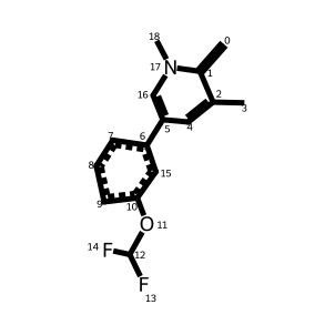 C=C1C(C)=CC(c2cccc(OC(F)F)c2)=CN1C